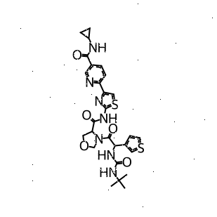 CC(C)(C)NC(=O)NC(C(=O)N1COCC1C(=O)Nc1nc(-c2ccc(C(=O)NC3CC3)cn2)cs1)c1ccsc1